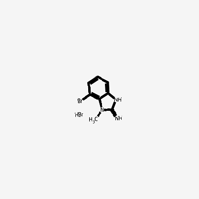 Br.Cn1c(=N)[nH]c2cccc(Br)c21